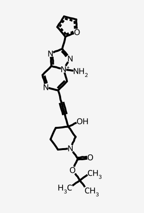 CC(C)(C)OC(=O)N1CCCC(O)(C#CC2=C[N+]3(N)N=C(c4ccco4)N=C3C=N2)C1